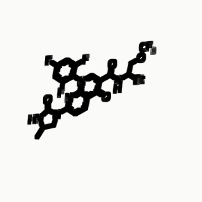 CCC(COC(F)(F)F)NC(=O)c1cn(-c2c(F)cc(F)cc2F)c2nc(N3CC(C)NC3=O)ccc2c1=O